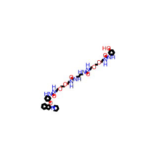 O=C(NCCCCNC(=O)NCCOCCOCCNC(=O)Nc1cccc(O[C@H]2c3ccccc3C[C@@H]2N2CCCCC2)c1)NCCOCCOCCNC(=O)Nc1cccc(O)c1